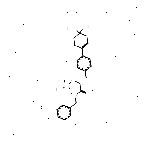 CC1(C)CC=C(c2ccc(C[C@@H](O[Si](C)(C)C(C)(C)C)C(=O)OCc3ccccc3)cc2)CC1